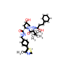 Cc1ncsc1-c1ccc(CNC(=O)[C@@H]2C[C@@H](O)CN2C(=O)[C@@H](NC(O)CCC2CCCCC2)C(C)(C)C)cc1